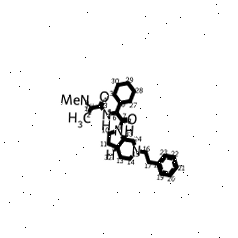 CN[C@@H](C)C(=O)NC(C(=O)N1CC[C@H]2CCN(CCc3ccccc3)C[C@H]21)C1CCCCC1